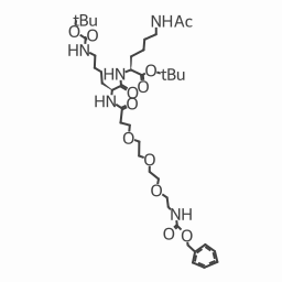 CC(=O)NCCCC[C@H](NC(=O)[C@H](CCCCNC(=O)OC(C)(C)C)NC(=O)CCOCCOCCOCCNC(=O)OCc1ccccc1)C(=O)OC(C)(C)C